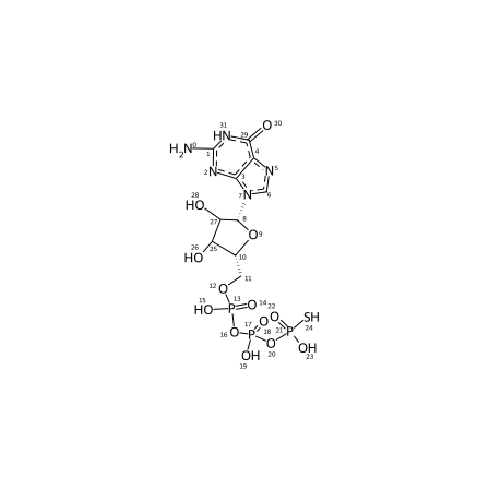 Nc1nc2c(ncn2[C@@H]2O[C@H](COP(=O)(O)OP(=O)(O)OP(=O)(O)S)C(O)C2O)c(=O)[nH]1